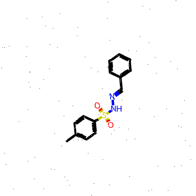 Cc1ccc(S(=O)(=O)N/N=C/c2ccccc2)cc1